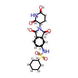 O=C1CCC(N2C(=O)c3ccc(NS(=O)(=O)C4CCCCC4)cc3C2=O)C(=O)N1